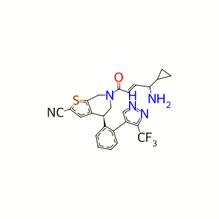 N#Cc1cc2c(s1)CN(C(=O)/C=C/C(N)C1CC1)C[C@H]2c1ccccc1-c1c[nH]nc1C(F)(F)F